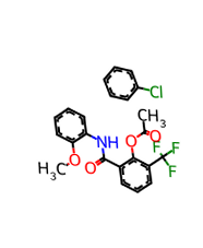 COc1ccccc1NC(=O)c1cccc(C(F)(F)F)c1OC(C)=O.Clc1ccccc1